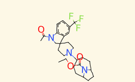 CCOC(=O)N1C2CCC(N3CCC4(CC3)CN(C(C)=O)c3ccc(C(F)(F)F)cc34)CCC1CC2